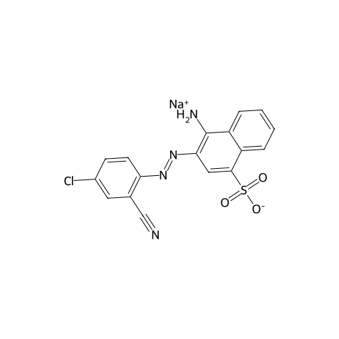 N#Cc1cc(Cl)ccc1N=Nc1cc(S(=O)(=O)[O-])c2ccccc2c1N.[Na+]